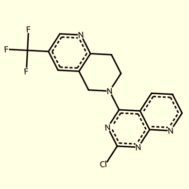 FC(F)(F)c1cnc2c(c1)CN(c1nc(Cl)nc3ncccc13)CC2